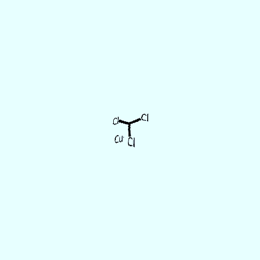 ClC(Cl)Cl.[Cu]